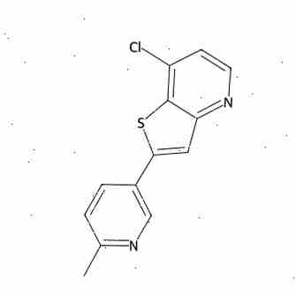 Cc1ccc(-c2cc3nccc(Cl)c3s2)cn1